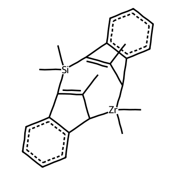 CC1=C2c3ccccc3[CH]1[Zr]([CH3])([CH3])[CH]1C(C)=C(c3ccccc31)[Si]2(C)C